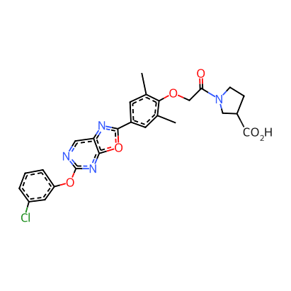 Cc1cc(-c2nc3cnc(Oc4cccc(Cl)c4)nc3o2)cc(C)c1OCC(=O)N1CCC(C(=O)O)C1